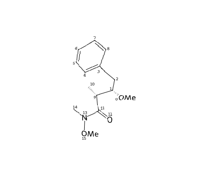 CO[C@@H](Cc1ccccc1)[C@@H](C)C(=O)N(C)OC